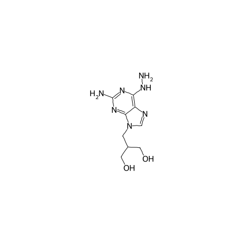 NNc1nc(N)nc2c1ncn2CC(CO)CO